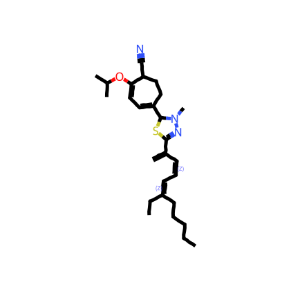 C=C(/C=C\C=C(\CC)CCCCC)C1=NN(C)C(C2=CC=C(OC(C)C)C(C#N)CC2)S1